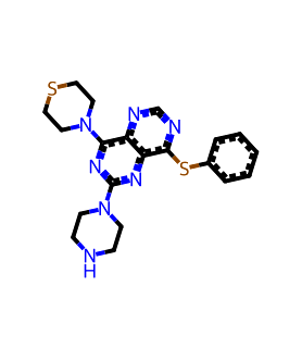 c1ccc(Sc2ncnc3c(N4CCSCC4)nc(N4CCNCC4)nc23)cc1